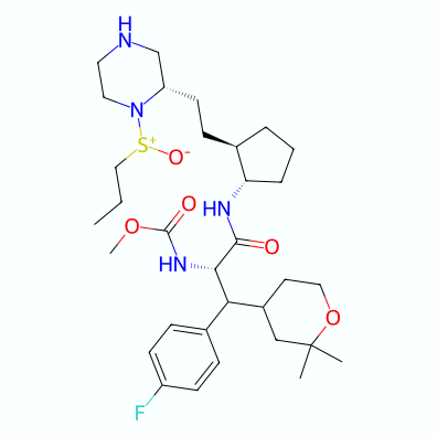 CCC[S+]([O-])N1CCNC[C@@H]1CC[C@H]1CCC[C@@H]1NC(=O)[C@@H](NC(=O)OC)C(c1ccc(F)cc1)C1CCOC(C)(C)C1